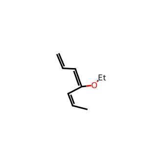 C=C/C=C(\C=C/C)OCC